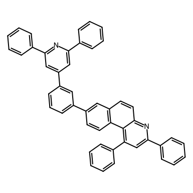 c1ccc(-c2cc(-c3cccc(-c4ccc5c(ccc6nc(-c7ccccc7)cc(-c7ccccc7)c65)c4)c3)cc(-c3ccccc3)n2)cc1